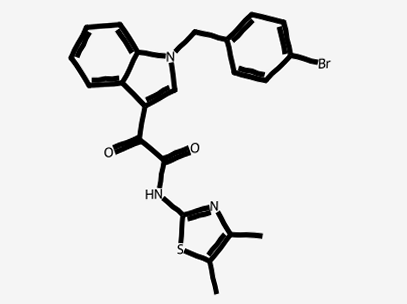 Cc1nc(NC(=O)C(=O)c2cn(Cc3ccc(Br)cc3)c3ccccc23)sc1C